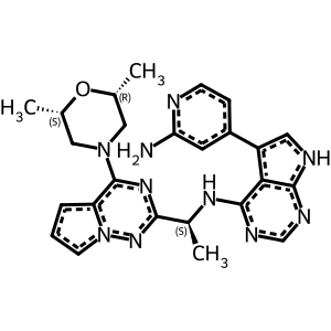 C[C@@H]1CN(c2nc([C@H](C)Nc3ncnc4[nH]cc(-c5ccnc(N)c5)c34)nn3cccc23)C[C@H](C)O1